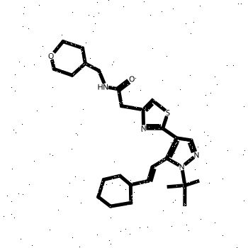 CC(C)(C)n1ncc(-c2nc(CC(=O)NCC3CCOCC3)cs2)c1C=CC1CCCCC1